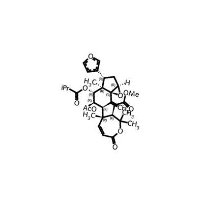 C=C1[C@@H]([C@@]2(C)C=CC(=O)OC(C)(C)[C@@H]2CC(=O)OC)[C@@H](OC(C)=O)[C@H](OC(=O)C(C)C)[C@@]2(C)[C@H](c3ccoc3)C[C@H]3O[C@]132